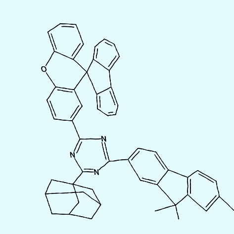 Cc1ccc2c(c1)C(C)(C)c1cc(-c3nc(-c4ccc5c(c4)C4(c6ccccc6O5)c5ccccc5-c5ccccc54)nc(C45CC6CC(CC(C6)C4)C5)n3)ccc1-2